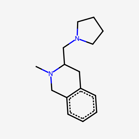 CN1Cc2ccccc2CC1CN1CCCC1